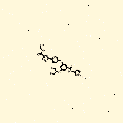 CCNC(=O)c1noc(-c2ccc(Oc3cc(OC(CF)CF)cc(C(=O)Nc4ccn(C)n4)c3)cn2)n1